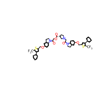 O=C(OCC(=O)N1CCc2cc(OCc3cc(-c4ccccc4)c(C(F)(F)F)s3)ccc21)[C@@H]1CCN(CC(=O)N2CCc3cc(OCc4cc(-c5ccccc5)c(C(F)(F)F)s4)ccc32)C1